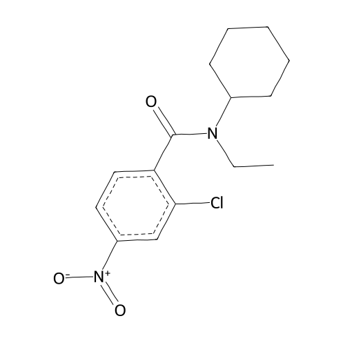 CCN(C(=O)c1ccc([N+](=O)[O-])cc1Cl)C1CCCCC1